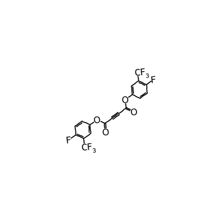 O=C(C#CC(=O)Oc1ccc(F)c(C(F)(F)F)c1)Oc1ccc(F)c(C(F)(F)F)c1